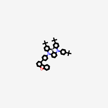 CC(C)(C)c1ccc(N2c3ccc(C(C)(C)C)cc3B3c4cc(C(C)(C)C)ccc4N(c4ccc(-c5cccc6oc7ccccc7c56)cc4)c4cccc2c43)cc1